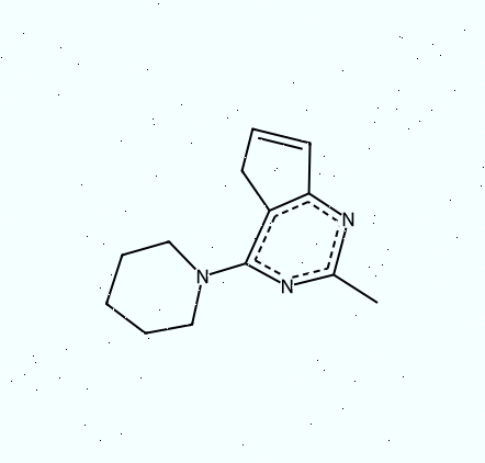 Cc1nc2c(c(N3CCCCC3)n1)CC=C2